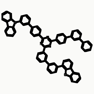 c1ccc(-c2cccc(-c3ccc(-c4nc(-c5ccc(-c6cccc(-n7c8ccccc8c8ccccc87)c6)cc5)nc(-c5cccc(-c6cccc(-c7cccc8c7oc7ccccc78)c6)c5)n4)cc3)c2)cc1